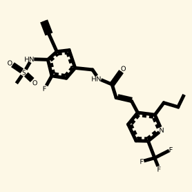 C#Cc1cc(CNC(=O)C=Cc2ccc(C(F)(F)F)nc2CCC)cc(F)c1NS(C)(=O)=O